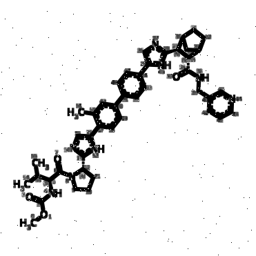 COC(=O)N[C@H](C(=O)N1CCC[C@H]1c1ncc(-c2ccc(-c3ccc(-c4cnc([C@H]5C6CCC(C6)[C@@H]5C(=O)NCc5cccnc5)[nH]4)cc3)cc2C)[nH]1)C(C)C